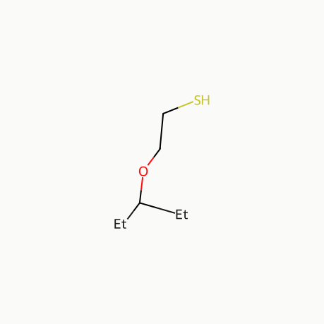 CCC(CC)OCCS